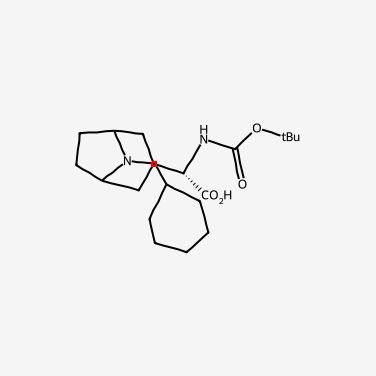 CC(C)(C)OC(=O)N[C@H](C(=O)O)C1CC2CCC(C1)N2CC1CCCCC1